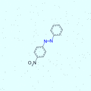 O=[N+]([O-])c1ccc(N=Nc2[c]cccc2)cc1